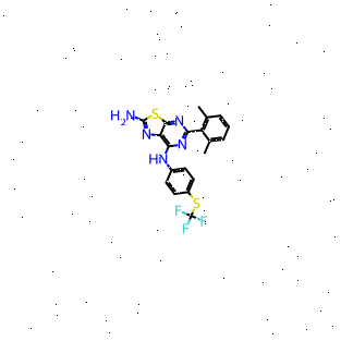 Cc1cccc(C)c1-c1nc(Nc2ccc(SC(F)(F)F)cc2)c2nc(N)sc2n1